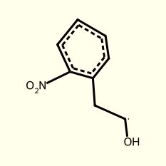 O=[N+]([O-])c1ccccc1C[CH]O